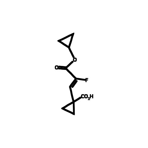 O=C(OC1CC1)C(F)=CC1(C(=O)O)CC1